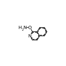 NOc1nccc2ccccc12